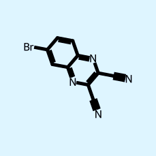 N#Cc1nc2ccc(Br)cc2nc1C#N